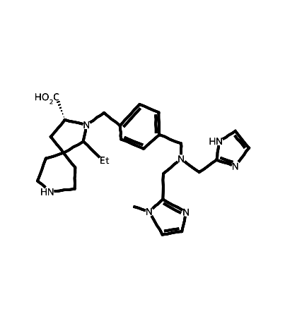 CCC1N(Cc2ccc(CN(Cc3ncc[nH]3)Cc3nccn3C)cc2)[C@@H](C(=O)O)CC12CCNCC2